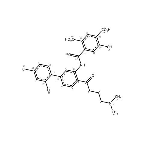 CN(C)CCCC(=O)c1ccc(-c2ccc(Cl)cc2Cl)cc1NC(=O)c1cc(O)c(C(=O)O)cc1C(=O)O